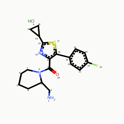 Cl.NCC1CCCCN1C(=O)c1nc(C2CC2)sc1-c1ccc(F)cc1